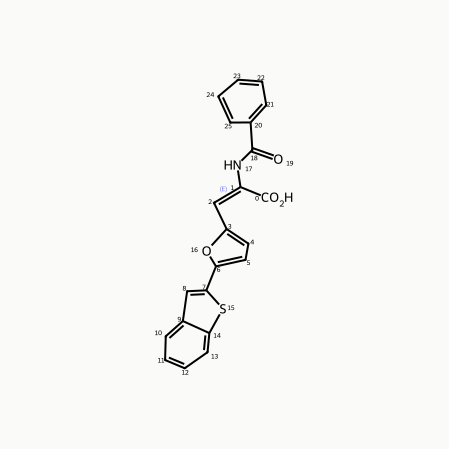 O=C(O)/C(=C\c1ccc(-c2cc3ccccc3s2)o1)NC(=O)c1ccccc1